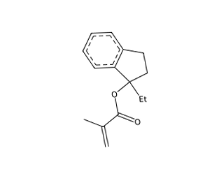 C=C(C)C(=O)OC1(CC)CCc2ccccc21